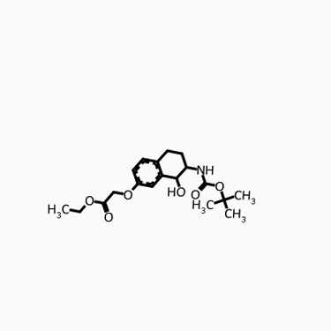 CCOC(=O)COc1ccc2c(c1)C(O)C(NC(=O)OC(C)(C)C)CC2